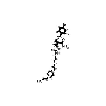 NC(=O)c1c(OCc2c(F)cc(Br)cc2F)nsc1NC(=O)NCCCCCCN1CCN(CCO)CC1